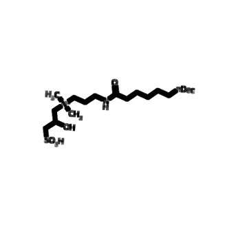 CCCCCCCCCCCCCCCC(=O)NCCC[N+](C)(C)CC(O)CS(=O)(=O)O